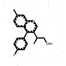 COCC(C)c1cnc2cc(C)ccc2c1-c1ccc(F)cc1